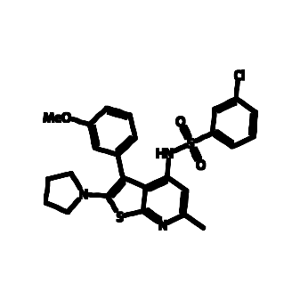 COc1cccc(-c2c(N3CCCC3)sc3nc(C)cc(NS(=O)(=O)c4cccc(Cl)c4)c23)c1